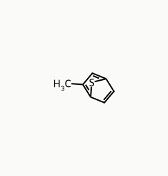 Cc1cc2ccc1s2